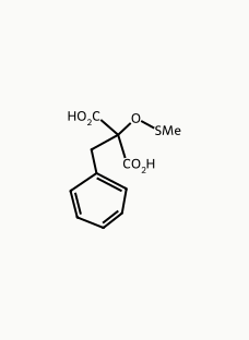 CSOC(Cc1ccccc1)(C(=O)O)C(=O)O